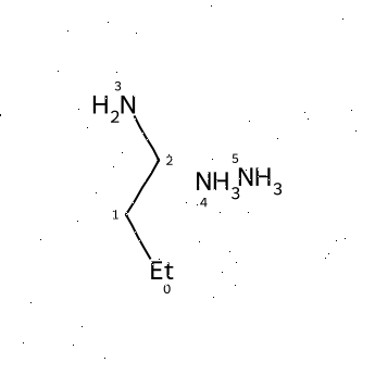 CCCCN.N.N